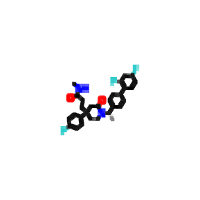 CNC(=O)CC[C@]1(c2ccc(F)cc2)CCN([C@@H](C)c2ccc(-c3ccc(F)cc3F)cc2)C(=O)C1